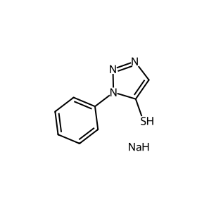 Sc1cnnn1-c1ccccc1.[NaH]